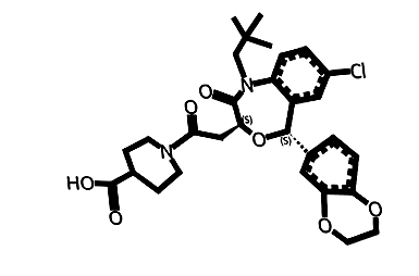 CC(C)(C)CN1C(=O)[C@H](CC(=O)N2CCC(C(=O)O)CC2)O[C@@H](c2ccc3c(c2)OCCO3)c2cc(Cl)ccc21